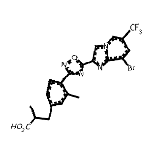 Cc1cc(CC(C)C(=O)O)ccc1-c1noc(-c2cn3cc(C(F)(F)F)cc(Br)c3n2)n1